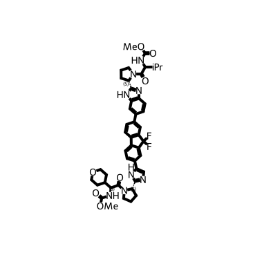 COC(=O)NC(C(=O)N1CCC[C@H]1c1nc2ccc(-c3ccc4c(c3)C(F)(F)c3cc(-c5cnc([C@@H]6CCCN6C(=O)[C@@H](NC(=O)OC)C6CCOCC6)[nH]5)ccc3-4)cc2[nH]1)C(C)C